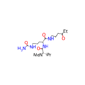 CCC(=O)CCCNC(=O)C(CCCNC(N)=O)NC(=O)C(NC)C(C)C